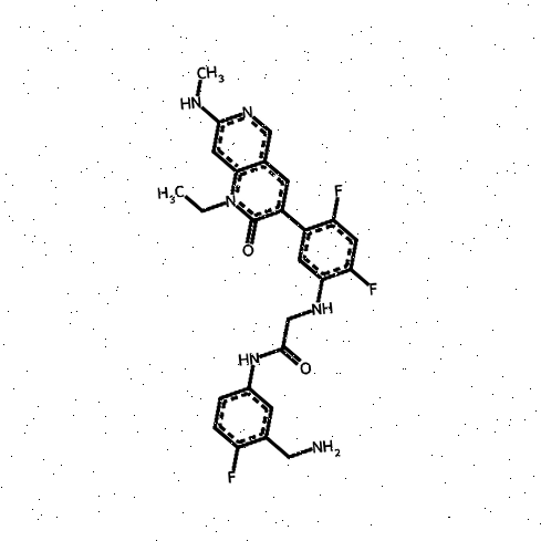 CCn1c(=O)c(-c2cc(NCC(=O)Nc3ccc(F)c(CN)c3)c(F)cc2F)cc2cnc(NC)cc21